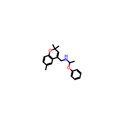 Cc1ccc2c(c1)C(CNC(C)Oc1ccccc1)=CC(C)(C)O2